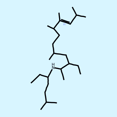 CCC(CCC(C)C)NC(C)C(CC)CC(C)CCC(C)/C(C)=C/C(C)C